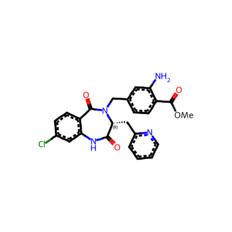 COC(=O)c1ccc(CN2C(=O)c3ccc(Cl)cc3NC(=O)[C@H]2Cc2ccccn2)cc1N